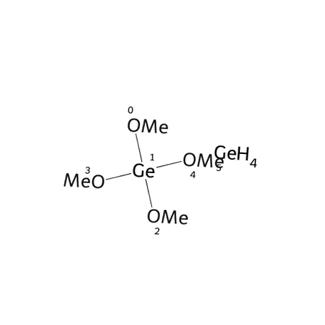 C[O][Ge]([O]C)([O]C)[O]C.[GeH4]